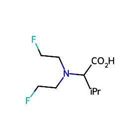 CC(C)C(C(=O)O)N(CCF)CCF